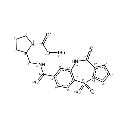 CC(C)(C)OC(=O)N1CCCC1CNC(=O)c1ccc2c(c1)NC(=O)c1cccn1S2(=O)=O